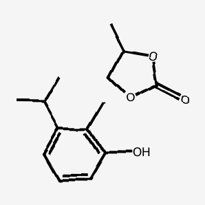 CC1COC(=O)O1.Cc1c(O)cccc1C(C)C